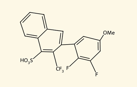 COc1cc(F)c(F)c(-c2cc3ccccc3c(S(=O)(=O)O)c2C(F)(F)F)c1